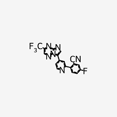 N#Cc1cc(F)ccc1-c1cc(-c2cnc3nc(C(F)(F)F)cnn23)ccn1